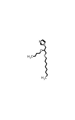 CCCCCCCCSCC(Cn1ccnc1)OCCCC